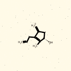 C=CCC1=C(C)[C@@H](O)CC1=C